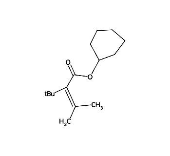 CC(C)=C(C(=O)OC1CCCCC1)C(C)(C)C